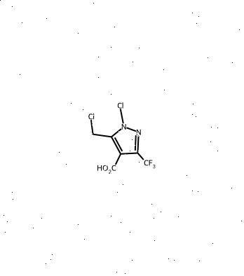 O=C(O)c1c(C(F)(F)F)nn(Cl)c1CCl